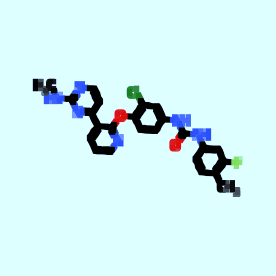 CNc1nccc(-c2cccnc2Oc2ccc(NC(=O)Nc3ccc(C)c(F)c3)cc2Cl)n1